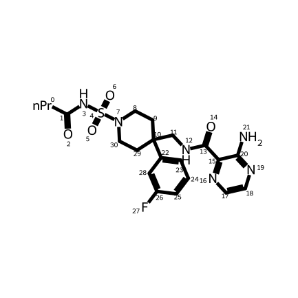 CCCC(=O)NS(=O)(=O)N1CCC(CNC(=O)c2nccnc2N)(c2cccc(F)c2)CC1